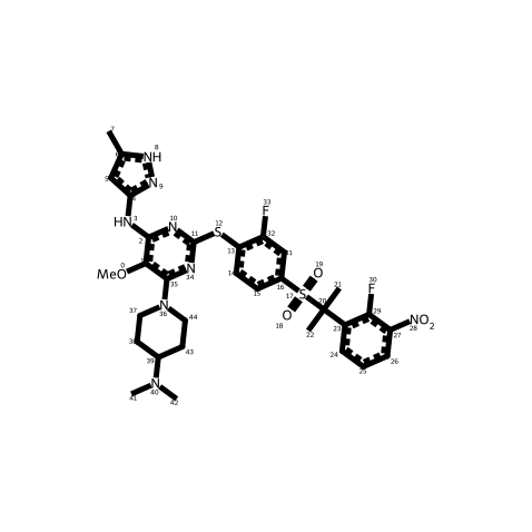 COc1c(Nc2cc(C)[nH]n2)nc(Sc2ccc(S(=O)(=O)C(C)(C)c3cccc([N+](=O)[O-])c3F)cc2F)nc1N1CCC(N(C)C)CC1